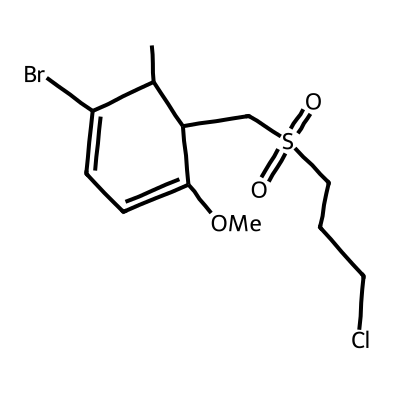 COC1=CC=C(Br)C(C)C1CS(=O)(=O)CCCCl